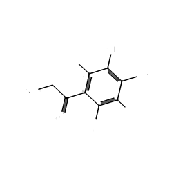 [2H]c1c([2H])c(C(=O)CC#N)c([2H])c([2H])c1F